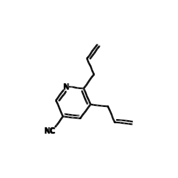 C=CCc1cc(C#N)cnc1CC=C